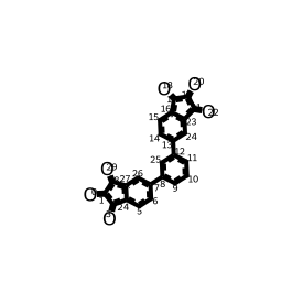 O=c1c(=O)c2ccc(-c3cccc(-c4ccc5c(=O)c(=O)c(=O)c5c4)c3)cc2c1=O